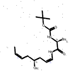 B[C@H](NC(=O)OC(C)(C)C)C(=O)N/C=C\C[C@@H](O)C/C=C\C